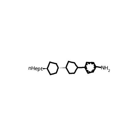 CCCCCCC[C@H]1CC[C@H](C2CCC(c3ccc(N)cc3)CC2)CC1